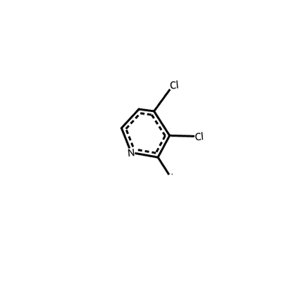 [CH2]c1nccc(Cl)c1Cl